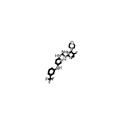 N=C(Nc1ccc(Nc2cccc(C(F)(F)F)c2)cn1)Nc1ncc(F)c(N2CCOCC2)n1